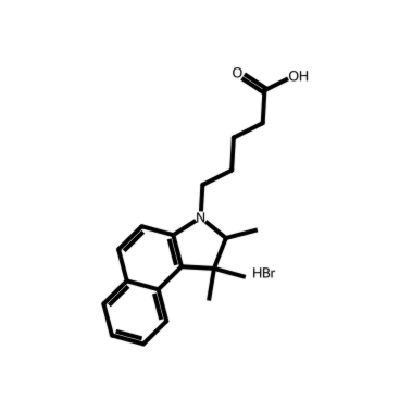 Br.CC1N(CCCCC(=O)O)c2ccc3ccccc3c2C1(C)C